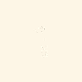 O=C(Nc1cccnc1)C1CC2(CCC(c3ccnc4ccc(F)cc34)CC2)C1